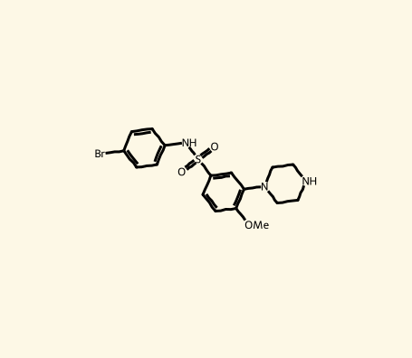 COc1ccc(S(=O)(=O)Nc2ccc(Br)cc2)cc1N1CCNCC1